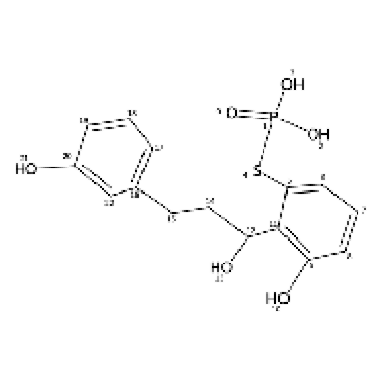 O=P(O)(O)Sc1cccc(O)c1C(O)CCc1cccc(O)c1